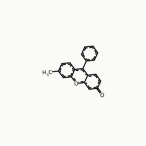 Cc1ccc2c(-c3ccccc3)c3ccc(=O)cc-3oc2c1